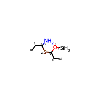 CCC(N)SC(CC)O[SiH3]